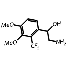 COc1ccc(C(O)CN)c(C(F)(F)F)c1OC